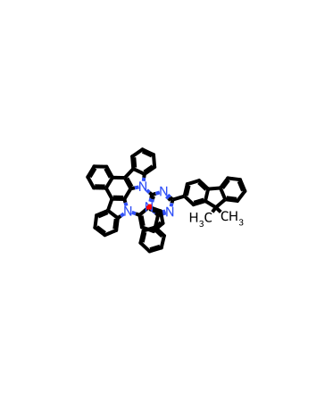 CC1(C)c2ccccc2-c2ccc(-c3nc(-c4ccccc4)nc(-n4c5ccccc5c5c6ccccc6c6c7ccccc7n(-c7ccccc7)c6c54)n3)cc21